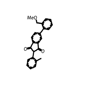 COCc1ccccc1-c1ccc2c(c1)C(=O)C(c1ccccc1C)C2=O